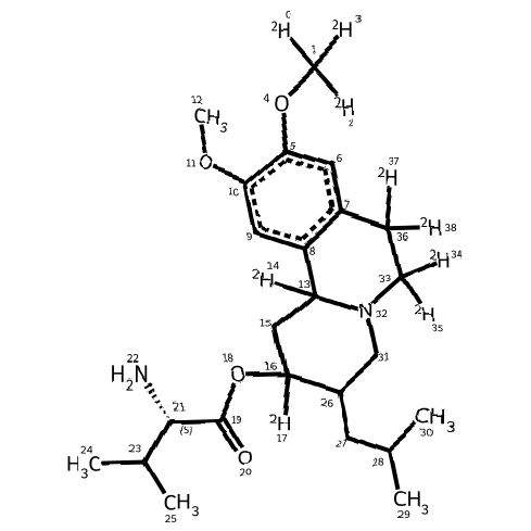 [2H]C([2H])([2H])Oc1cc2c(cc1OC)C1([2H])CC([2H])(OC(=O)[C@@H](N)C(C)C)C(CC(C)C)CN1C([2H])([2H])C2([2H])[2H]